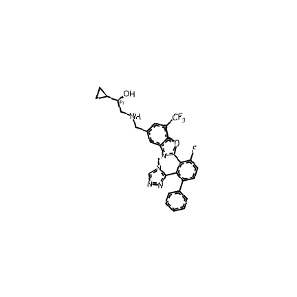 Cn1cnnc1-c1c(-c2ccccc2)ccc(F)c1-c1nc2cc(CNC[C@H](O)C3CC3)cc(C(F)(F)F)c2o1